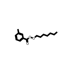 [CH2]CCCCCCOOC(=O)c1cccc(C)c1